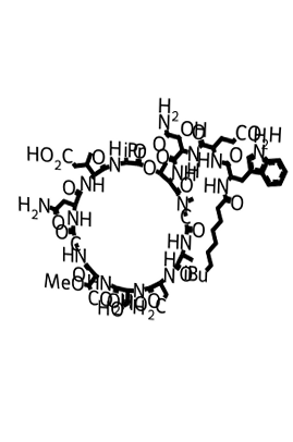 CCC(C)CCCCCCC(=O)NC(Cc1c[nH]c2ccccc12)C(=O)NC(CCC(=O)O)C(=O)NC(C(=O)NC1C(=O)N(C)CC(=O)NC(C)C(=O)NC(CC(=O)O)C(=O)NC(CO)C(=O)NC(C(OC)C(=O)O)C(=O)NCC(=O)NC(CC(N)=O)C(=O)NC(C(C)CC(=O)O)C(=O)NC(C(C)C)C(=O)OC1C)C(O)C(N)=O